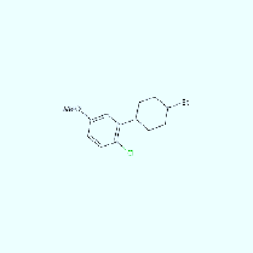 CCC1CCC(c2cc(OC)ccc2Cl)CC1